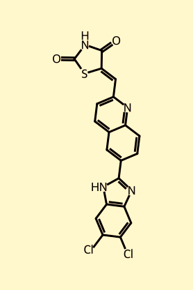 O=C1NC(=O)/C(=C/c2ccc3cc(-c4nc5cc(Cl)c(Cl)cc5[nH]4)ccc3n2)S1